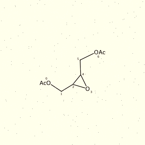 CC(=O)OCC1OC1COC(C)=O